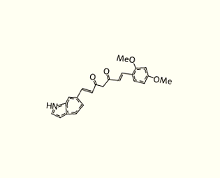 COc1ccc(C=CC(=O)CC(=O)C=Cc2ccc3cc[nH]c3c2)c(OC)c1